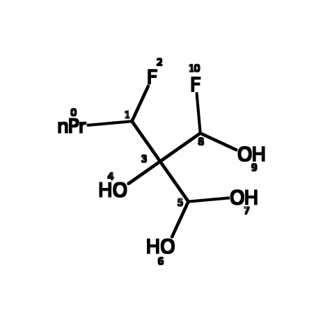 CCCC(F)C(O)(C(O)O)C(O)F